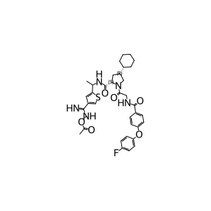 CC(=O)ONC(=N)c1csc(C(C)NC(=O)[C@@H]2C[C@H](C3CCCCC3)CN2C(=O)CNC(=O)c2ccc(Oc3ccc(F)cc3)cc2)c1